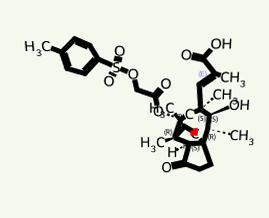 C/C(=C\[C@]1(C)C[C@@H](OC(=O)COS(=O)(=O)c2ccc(C)cc2)[C@]2(C)[C@H](C)CC[C@]3(CCC(=O)[C@H]32)[C@@H](C)[C@@H]1O)C(=O)O